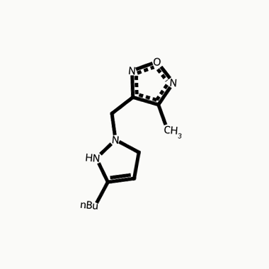 CCCCC1=CCN(Cc2nonc2C)N1